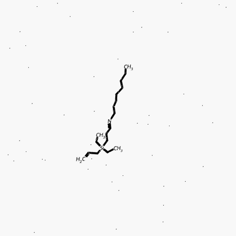 C=CC[Si](CC)(CC)CCC=NCCCCCCCC